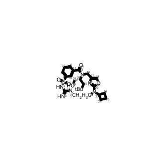 C=NC(=N)NS(=O)(=O)c1cccc(C(=O)N(Cc2coc(N(C)C3CCC3)n2)[C@@H](CO)CC(C)(C)C)c1